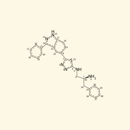 N[C@H](CNc1nnc(-c2ccc3[nH]nc(-c4ccccc4)c3c2)s1)Cc1ccccc1